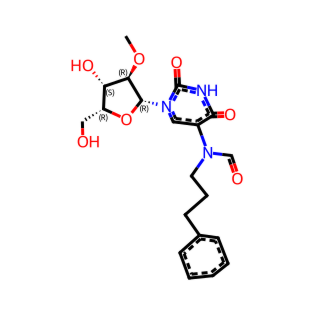 CO[C@@H]1[C@@H](O)[C@@H](CO)O[C@H]1n1cc(N(C=O)CCCc2ccccc2)c(=O)[nH]c1=O